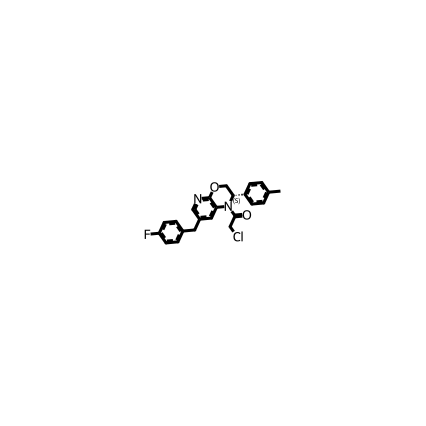 Cc1ccc([C@H]2COc3ncc(Cc4ccc(F)cc4)cc3N2C(=O)CCl)cc1